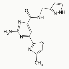 Cc1csc(-c2cc(C(=O)NCc3cc[nH]n3)nc(N)n2)n1